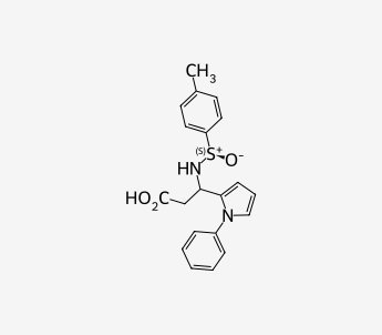 Cc1ccc([S@@+]([O-])NC(CC(=O)O)c2cccn2-c2ccccc2)cc1